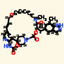 Cc1cc(C[C@H]2OC(=O)N3CCC4(CC3)OC(=O)Nc3ncc(cc34)/C=C/COCCCCCN(C)C2=O)cc2cn[nH]c12